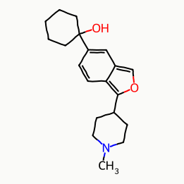 CN1CCC(c2occ3cc(C4(O)CCCCC4)ccc23)CC1